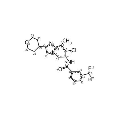 Cc1c(Cl)c(NC(=O)c2cccc(C(F)F)c2)cn2cc(C3CCOCC3)nc12